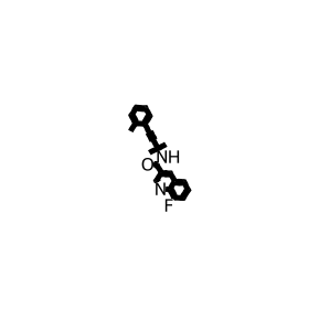 Cc1ccccc1C#CC(C)(C)NC(=O)c1cnc2c(F)cccc2c1